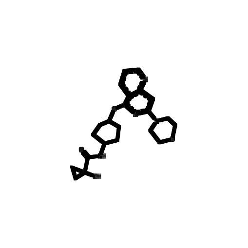 O=C(NC1CCC(Oc2nc(N3CCOCC3)cc3ncccc23)CC1)C1(O)CC1